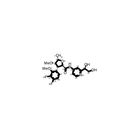 COc1c([C@@H]2[C@H](OC)[C@H](C)O[C@H]2C(=O)Nc2ccnc([C@@H](O)CO)c2)ccc(F)c1F